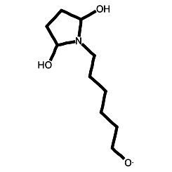 [O]CCCCCCN1C(O)CCC1O